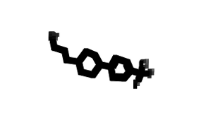 FC(F)(Cl)c1ccc(C2CCC(CCCBr)CC2)cc1